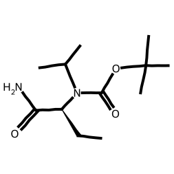 CC[C@@H](C(N)=O)N(C(=O)OC(C)(C)C)C(C)C